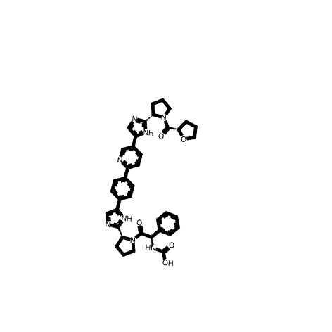 O=C(O)N[C@@H](C(=O)N1CCC[C@H]1c1ncc(-c2ccc(-c3ccc(-c4cnc([C@@H]5CCCN5C(=O)[C@H]5CCCO5)[nH]4)cn3)cc2)[nH]1)c1ccccc1